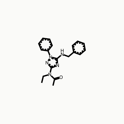 CCN(C(C)=O)c1nc(NCc2ccccc2)n(-c2ccccc2)n1